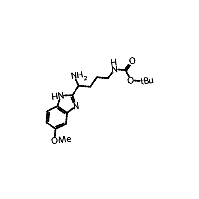 COc1ccc2[nH]c(C(N)CCCNC(=O)OC(C)(C)C)nc2c1